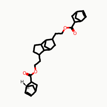 O=C(OCCC1CC2CC1C1CCC(CCOC(=O)C3CC4C=C[C@H]3C4)C21)C1CC2C=CC1C2